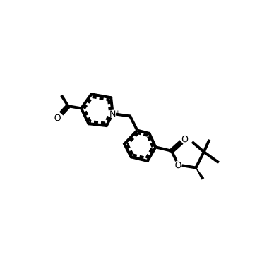 CC(=O)c1cc[n+](Cc2cccc(C(=O)O[C@H](C)C(C)(C)C)c2)cc1